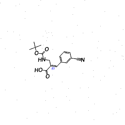 CC(C)(C)OC(=O)NC/C(=C\c1cccc(C#N)c1)C(=O)O